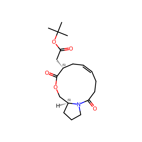 CC(C)(C)OC(=O)C[C@@H]1CC=CCCC(=O)N2CCC[C@H]2COC1=O